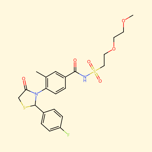 COCCOCCS(=O)(=O)NC(=O)c1ccc(N2C(=O)CSC2c2ccc(F)cc2)c(C)c1